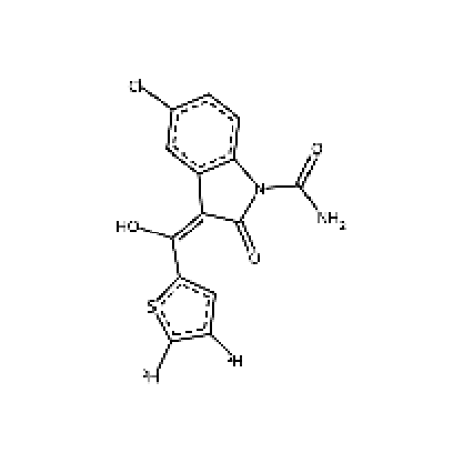 [2H]c1cc(C(O)=C2C(=O)N(C(N)=O)c3ccc(Cl)cc32)sc1[2H]